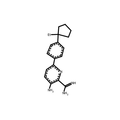 CCC1(c2ccc(-c3ccc(N)c(C(=N)N)n3)cc2)CCCC1